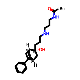 CC(C)(C)C(=O)NCCCNCCC[C@@]1(O)C[C@H]2CC[C@@H]1C=C2c1ccccc1